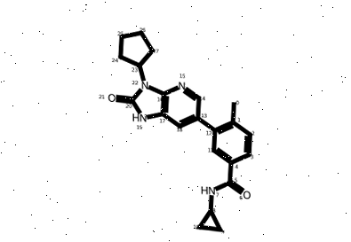 Cc1ccc(C(=O)NC2CC2)cc1-c1cnc2c(c1)[nH]c(=O)n2C1CCCC1